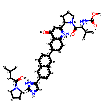 COC(=O)N[C@H](C(=O)N1CCCC1c1cc(=O)c2cc(-c3ccc4cc(-c5cnc([C@@H]6CCCN6C(=O)CC(C)C)[nH]5)ccc4c3)ccc2[nH]1)C(C)C